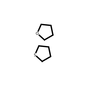 [CH]1CCCO1.[CH]1CCCS1